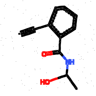 [C]#Cc1ccccc1C(=O)NC(C)O